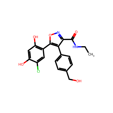 CCNC(=O)c1noc(-c2cc(Cl)c(O)cc2O)c1-c1ccc(CO)cc1